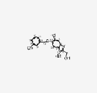 CCn1c(CO)nc2cc(Cl)c(OCc3cccc(Cl)c3)cc21